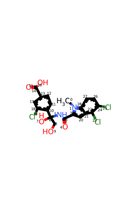 Cn1c(C(=O)NC(O)(CO)c2ccc(C(=O)O)cc2Cl)cc2c(Cl)c(Cl)ccc21